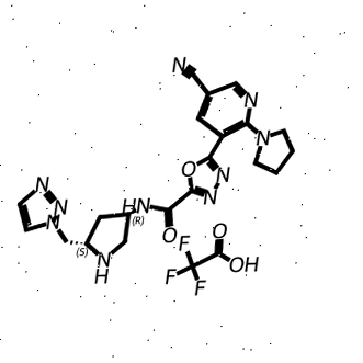 N#Cc1cnc(N2CCCC2)c(-c2nnc(C(=O)N[C@H]3CN[C@H](Cn4ccnn4)C3)o2)c1.O=C(O)C(F)(F)F